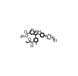 C=CC(=O)Nc1cc(-c2c(-c3ccc(N4CCN(SCC)CC4)cc3)[nH]c3ncc(C(=O)OC(C)C)cc23)ccc1C